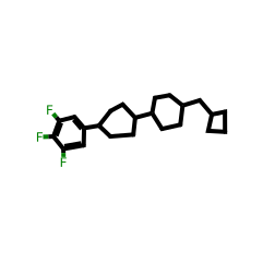 Fc1cc(C2CCC(C3CCC(CC4CCC4)CC3)CC2)cc(F)c1F